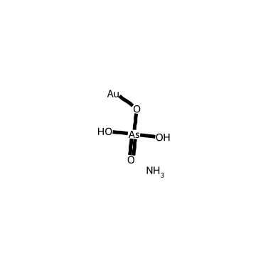 N.O=[As](O)(O)[O][Au]